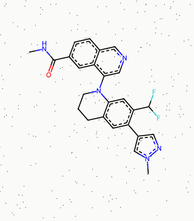 CNC(=O)c1ccc2cncc(N3CCCc4cc(-c5cnn(C)c5)c(C(F)F)cc43)c2c1